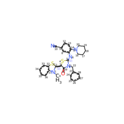 CN1/C(=C2/S/C(=N\c3cc(C#N)ccc3N3CCCCC3)N(Cc3ccccc3)C2=O)Sc2ccccc21